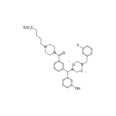 CCOC(=O)CCCCN1CCN(C(=O)c2cccc(C(c3cccc(O)c3)N3C[C@@H](C)N(Cc4cccc(F)c4)C[C@H]3C)c2)CC1